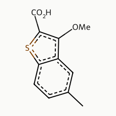 COc1c(C(=O)O)sc2ccc(C)cc12